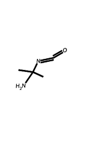 CC(C)(N)N=C=O